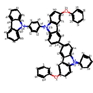 c1ccc(Oc2ccc3c(c2)c2cc(-c4ccc5c(c4)c4cc(Oc6ccccc6)ccc4n5-c4ccc(-n5c6ccccc6c6ccccc65)cc4)ccc2n3-c2ccccc2)cc1